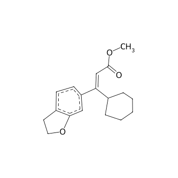 COC(=O)C=C(c1ccc2c(c1)OCC2)C1CCCCC1